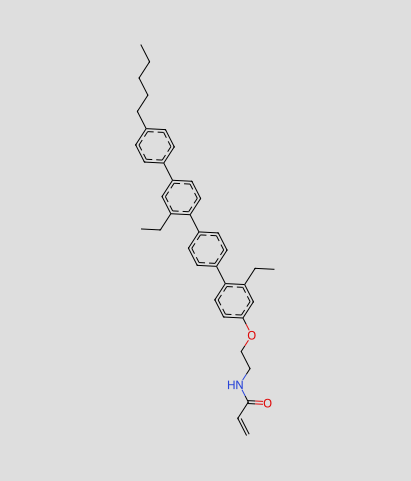 C=CC(=O)NCCOc1ccc(-c2ccc(-c3ccc(-c4ccc(CCCCC)cc4)cc3CC)cc2)c(CC)c1